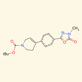 Cn1nc(-c2ccc(C3=CCN(C(=O)OC(C)(C)C)CC3)cc2)oc1=O